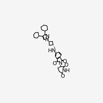 O=C1CCC(N2C(=O)c3ccc(NC[C@H]4C[C@H](n5cc(C6CCCCC6)c(C6CCCCC6)n5)C4)cc3C2=O)C(=O)N1